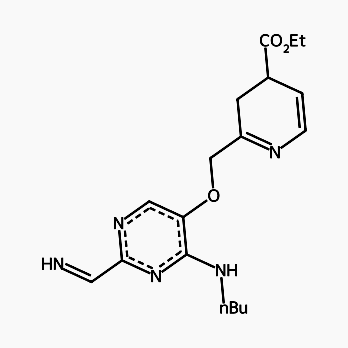 CCCCNc1nc(C=N)ncc1OCC1=NC=CC(C(=O)OCC)C1